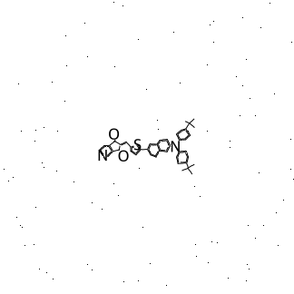 CC(C)(C)c1ccc(N(c2ccc(C(C)(C)C)cc2)c2ccc3cc(-c4ccc(/C=C5/C(=O)c6ccncc6C5=O)s4)ccc3c2)cc1